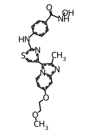 COCCOc1ccn2c(-c3csc(Nc4ccc(C(=O)NO)cc4)n3)c(C)nc2c1